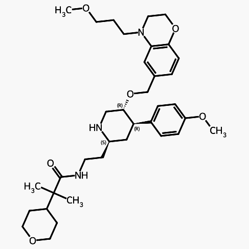 COCCCN1CCOc2ccc(CO[C@H]3CN[C@H](CCNC(=O)C(C)(C)C4CCOCC4)C[C@@H]3c3ccc(OC)cc3)cc21